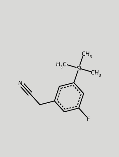 C[Si](C)(C)c1cc(F)cc(CC#N)c1